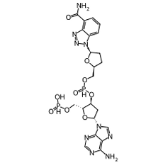 NC(=O)c1cccc2c1nnn2[C@H]1CC[C@@H](CO[PH](=O)O[C@H]2C[C@H](n3cnc4c(N)ncnc43)O[C@@H]2CO[PH](=O)O)O1